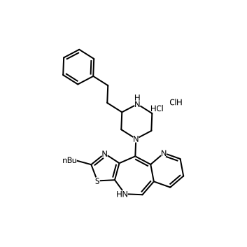 CCCCc1nc2c(s1)NC=c1cccnc1=C2N1CCNC(CCc2ccccc2)C1.Cl.Cl